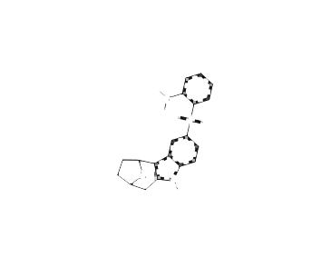 CN(C)c1ccccc1S(=O)(=O)c1ccc2c(c1)c1c(n2C)CC2CCC1N2